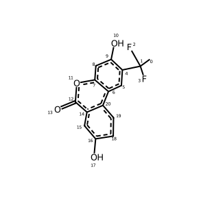 CC(F)(F)c1cc2c(cc1O)oc(=O)c1cc(O)ccc12